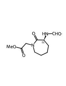 COC(=O)CN1CCCC[C@H](N[C]=O)C1=O